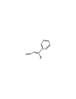 C=CC=C(F)c1ccccc1